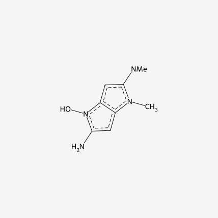 CNc1cc2c(cc(N)n2O)n1C